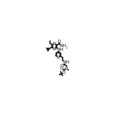 CCc1nc(C(N)=O)c(Nc2ccnc(CCNC(=O)CN(C)C(=O)OC(C)(C)C)c2)nc1C1CC1